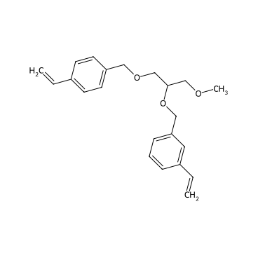 C=Cc1ccc(COCC(COC)OCc2cccc(C=C)c2)cc1